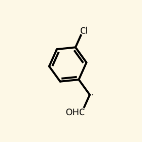 O=C[CH]c1cccc(Cl)c1